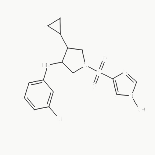 Cn1cnc(S(=O)(=O)N2CC(Nc3cccc(Cl)c3)C(C3CC3)C2)c1